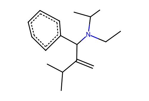 C=C(C(C)C)C(c1ccccc1)N(CC)C(C)C